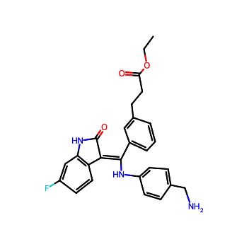 CCOC(=O)CCc1cccc(C(Nc2ccc(CN)cc2)=C2C(=O)Nc3cc(F)ccc32)c1